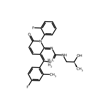 C=C(/N=C1\C(=C(/N)c2ccc(F)cc2C)C=CC(=O)N1c1ccccc1F)NC[C@H](C)O